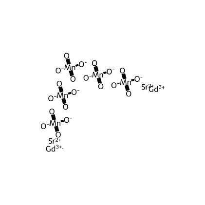 [Gd+3].[Gd+3].[O]=[Mn](=[O])([O-])[O-].[O]=[Mn](=[O])([O-])[O-].[O]=[Mn](=[O])([O-])[O-].[O]=[Mn](=[O])([O-])[O-].[O]=[Mn](=[O])([O-])[O-].[Sr+2].[Sr+2]